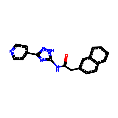 O=C(Cc1ccc2ccccc2c1)Nc1nc(-c2ccncc2)n[nH]1